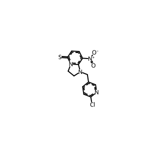 O=[N+]([O-])c1ccc(=S)n2c1N(Cc1ccc(Cl)nc1)CC2